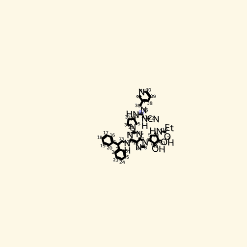 CCC(=O)N[C@H]1C[C@@H](n2cnc3c(NCC(c4ccccc4)c4ccccc4)nc(N4CC[C@@H](N/C(=N\Cc5cccnc5)NC#N)C4)nc32)[C@H](O)[C@@H]1O